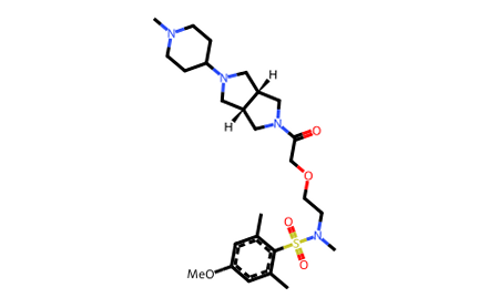 COc1cc(C)c(S(=O)(=O)N(C)CCOCC(=O)N2C[C@@H]3CN(C4CCN(C)CC4)C[C@@H]3C2)c(C)c1